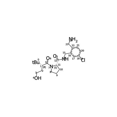 CC(C)(C)[C@@H](CCO)C(=O)N1CCC[C@H]1C(=O)NCc1cc(Cl)ccc1CN